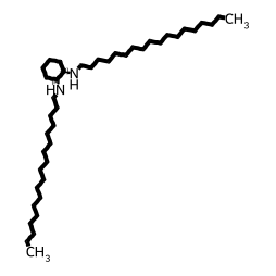 CCCCCCCCCCCCCCCCCCN[C@@H]1CCCC[C@H]1NCCCCCCCCCCCCCCCCCC